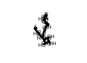 N#C[C@@H]1CC(F)(F)CN1C(=O)[C@@H]1C[C@@H](CC(=O)N2Cc3cccc(CNC(=O)COCCOCCNC(=O)C(CCCCNC(=O)CCCc4ccc(I)cc4)NC(=O)CN4CCN(CC(=O)O)CCN(CC(=O)O)CCN(CC(=O)O)CC4)c3C2)C(=O)N1